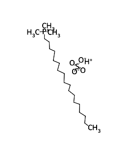 CCCCCCCCCCCCCCCCCC[P+](C)(C)C.O=S(=O)([O-])[O-].[H+]